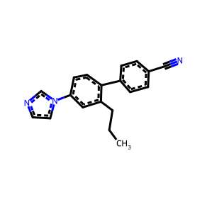 CCCc1cc(-n2ccnc2)ccc1-c1ccc(C#N)cc1